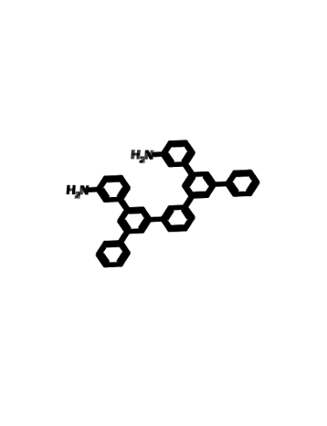 Nc1cccc(-c2cc(-c3ccccc3)cc(-c3cccc(-c4cc(-c5ccccc5)cc(-c5cccc(N)c5)c4)c3)c2)c1